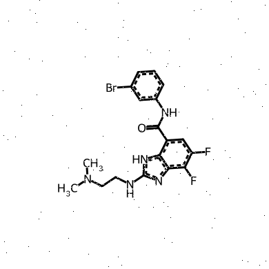 CN(C)CCNc1nc2c(F)c(F)cc(C(=O)Nc3cccc(Br)c3)c2[nH]1